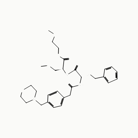 COCCOC(=O)[C@H](COC)NC(=O)[C@H](CCc1ccccc1)NC(=O)Cc1ccc(CN2CCOCC2)cc1